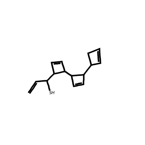 C=CC(S)C1C=CC1C1C=CC1C1C=CC1